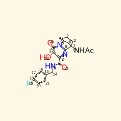 CC(=O)NC12CCC(CC1)n1c2nc(C(=O)NCc2ccc(F)cc2)c(O)c1=O